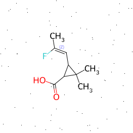 C/C(F)=C/C1C(C(=O)O)C1(C)C